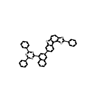 c1ccc(-c2nc(-c3ccccc3)nc(-c3cc(-c4ccc5c(c4)oc4ccc6nc(-c7ccccc7)oc6c45)cc4ccccc34)n2)cc1